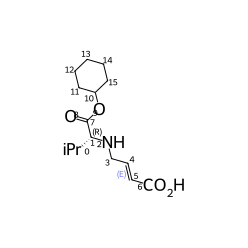 CC(C)[C@@H](NC/C=C/C(=O)O)C(=O)OC1CCCCC1